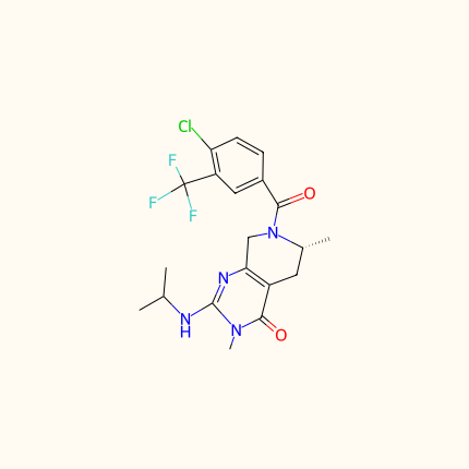 CC(C)Nc1nc2c(c(=O)n1C)C[C@@H](C)N(C(=O)c1ccc(Cl)c(C(F)(F)F)c1)C2